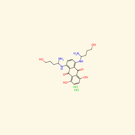 Cl.Cl.NC(CCCO)Nc1ccc(NC(N)CCCO)c2c1C(=O)c1c(O)ccc(O)c1C2=O